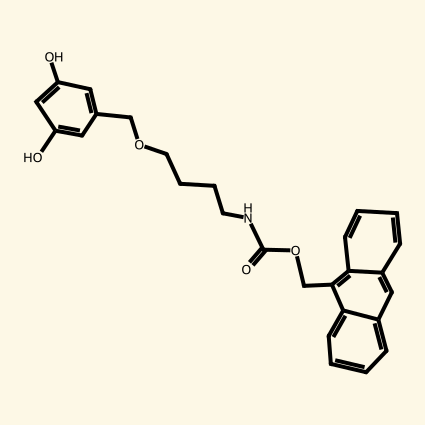 O=C(NCCCCOCc1cc(O)cc(O)c1)OCc1c2ccccc2cc2ccccc12